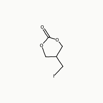 O=C1OCC(CI)CO1